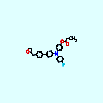 C=CC(=O)Oc1ccc(N(c2ccc(F)cc2)c2ccc(-c3ccc(CC4CCO4)cc3)cc2)cc1